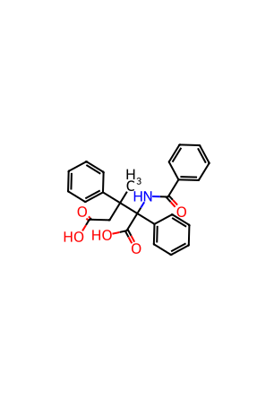 CC(CC(=O)O)(c1ccccc1)C(NC(=O)c1ccccc1)(C(=O)O)c1ccccc1